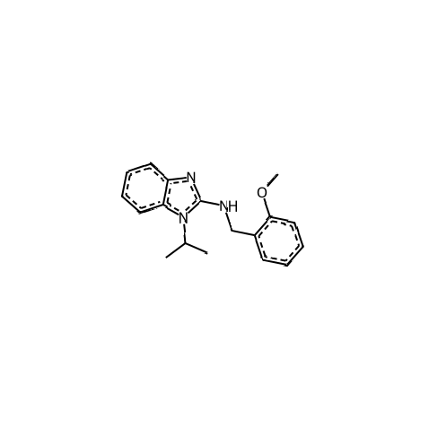 COc1ccccc1CNc1nc2ccccc2n1C(C)C